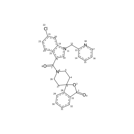 O=C1OC2(CCN(C(=O)c3cn(Cc4ccccn4)c4cc(Cl)ccc34)CC2)c2ccccc21